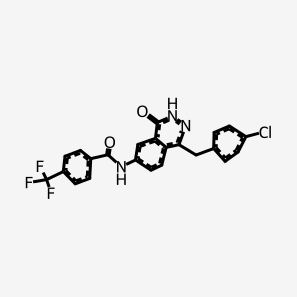 O=C(Nc1ccc2c(Cc3ccc(Cl)cc3)n[nH]c(=O)c2c1)c1ccc(C(F)(F)F)cc1